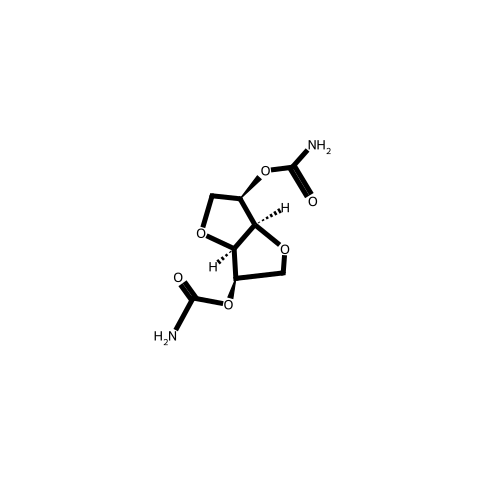 NC(=O)O[C@@H]1CO[C@H]2[C@@H]1OC[C@H]2OC(N)=O